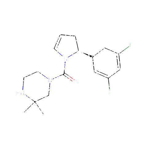 CC1(C)CN(C(=O)N2C=CC[C@H]2C2C=C(F)C=C(F)C2)CCN1